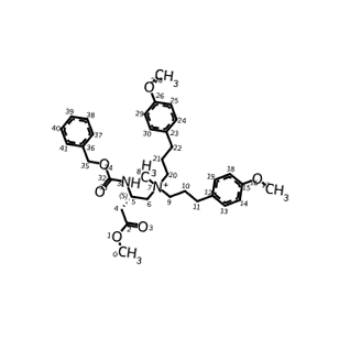 COC(=O)C[C@@H](C[N+](C)(CCCc1ccc(OC)cc1)CCCc1ccc(OC)cc1)NC(=O)OCc1ccccc1